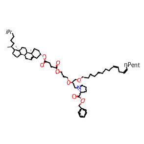 CCCCC/C=C\C/C=C\CCCCCCCCOCC(CN1CCCC1C(=O)OCc1ccccc1)OCCCOC(=O)CCC(=O)O[C@H]1CC[C@@]2(C)C(=CCC3C4CCC(C(C)CCCC(C)C)[C@@]4(C)CCC32)C1